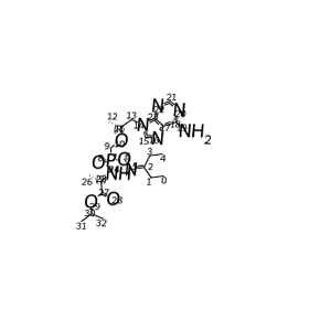 CCC(CC)=NOP(=O)(CO[C@H](C)Cn1cnc2c(N)ncnc21)N[C@@H](C)C(=O)OC(C)C